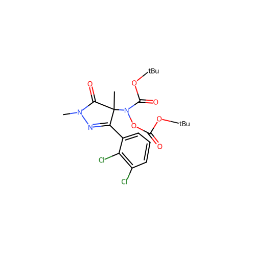 CN1N=C(c2cccc(Cl)c2Cl)C(C)(N(OC(=O)OC(C)(C)C)C(=O)OC(C)(C)C)C1=O